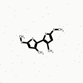 CSc1cc(C)c(-c2sc(SC)cc2C)s1